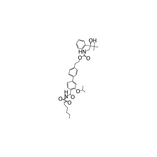 CCCCCS(=O)(=O)NC(=O)c1ccc(-c2ccc(CCOC(=O)NC[C@](O)(c3ccccc3)C(C)(C)C)cc2)cc1OC(C)C